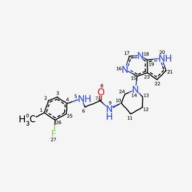 Cc1ccc(NCC(=O)N[C@@H]2CCCN(c3ncnc4[nH]ccc34)C2)cc1F